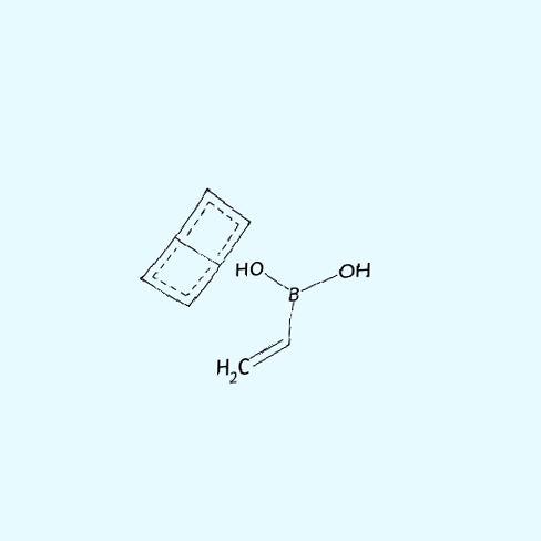 C=CB(O)O.c1cc2ccc1-2